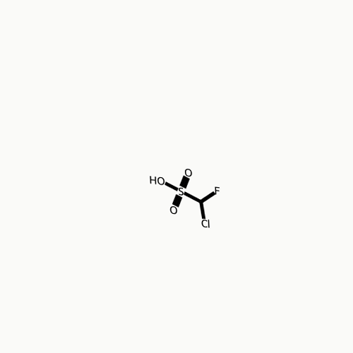 O=S(=O)(O)C(F)Cl